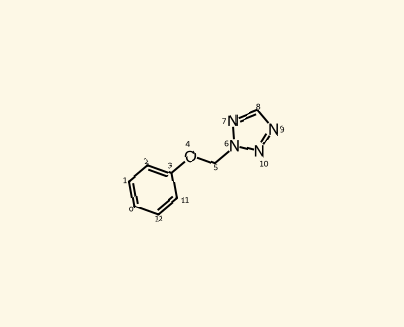 c1ccc(OCn2ncnn2)cc1